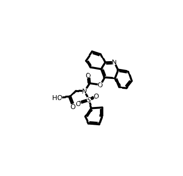 O=C(O)CN(C(=O)Oc1c2ccccc2nc2ccccc12)S(=O)(=O)c1ccccc1